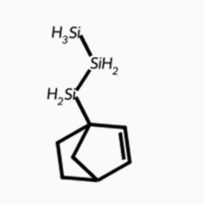 [SiH3][SiH2][SiH2]C12C=CC(CC1)C2